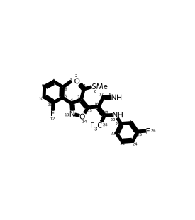 CSC(=O)c1c(-c2c(C)cccc2F)noc1/C(C=N)=C(/Nc1cccc(F)c1)C(F)(F)F